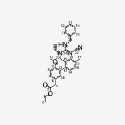 CCOC(=O)Cc1ccc(OC)c(-c2ccc(C)cc2CN(CC)/C(=N/C#N)NCc2ccccc2)c1